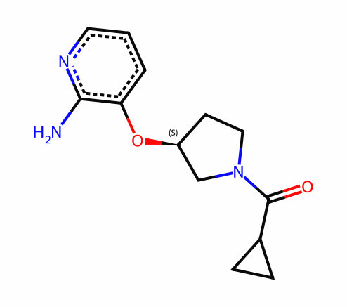 Nc1ncccc1O[C@H]1CCN(C(=O)C2CC2)C1